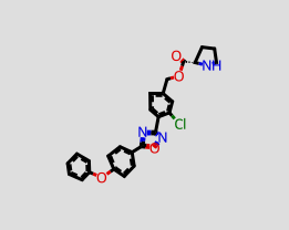 O=C(OCc1ccc(-c2noc(-c3ccc(Oc4ccccc4)cc3)n2)c(Cl)c1)[C@@H]1CCCN1